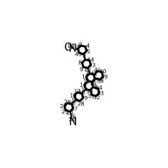 [C-]#[N+]c1cccc(-c2ccc(-c3cc4cc(-c5ccc(-c6cccc(C#N)c6)cc5)c5ccccc5c4c4ccccc34)cc2)c1